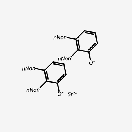 CCCCCCCCCc1cccc([O-])c1CCCCCCCCC.CCCCCCCCCc1cccc([O-])c1CCCCCCCCC.[Sr+2]